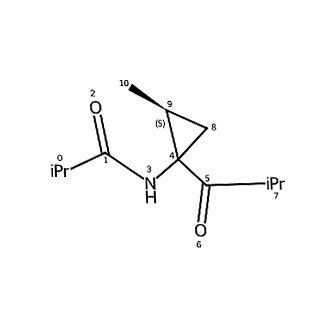 CC(C)C(=O)NC1(C(=O)C(C)C)C[C@@H]1C